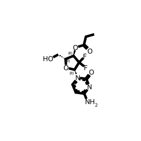 CCC(=O)O[C@@H]1[C@@H](CO)O[C@@H](n2ccc(N)nc2=O)C1(F)F